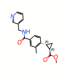 COC(=O)[C@@H]1C[C@H]1c1ccc(C(=O)NCc2cccnc2)cc1C